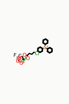 O=C(CCCCl)OC(C(F)(F)F)C(F)(F)S(=O)(=O)[O-].c1ccc([S+](c2ccccc2)c2ccccc2)cc1